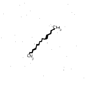 CCCCC=CCCCCCCCCCC